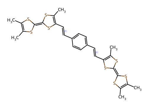 CC1=C(C)SC(=C2SC(C)=C(/C=C/c3ccc(/C=C/C4=C(C)SC(=C5SC(C)=C(C)S5)S4)cc3)S2)S1